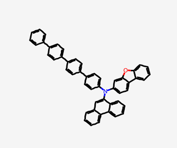 c1ccc(-c2ccc(-c3ccc(-c4ccc(N(c5ccc6c(c5)oc5ccccc56)c5cc6ccccc6c6ccccc56)cc4)cc3)cc2)cc1